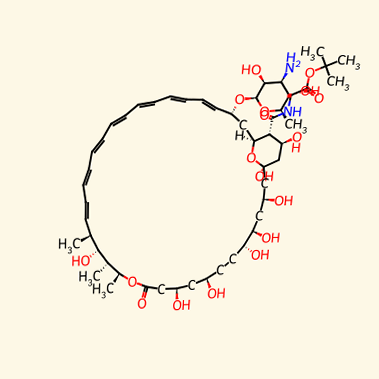 C[C@@H]1[C@H](O)[C@@H](C)/C=C/C=C/C=C/C=C/C=C/C=C/C=C/[C@H](O[C@@H]2O[C@H](C)[C@@H](O)[C@H](N)[C@@H]2O)C[C@@H]2O[C@](O)(C[C@@H](O)C[C@@H](O)[C@H](O)CC[C@@H](O)C[C@@H](O)CC(=O)O[C@H]1C)C[C@H](O)[C@H]2C(=O)NCC(=O)OC(C)(C)C